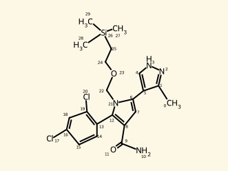 Cc1n[nH]cc1-c1cc(C(N)=O)c(-c2ccc(Cl)cc2Cl)n1COCC[Si](C)(C)C